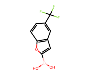 OB(O)c1cc2cc(C(F)(F)F)ccc2o1